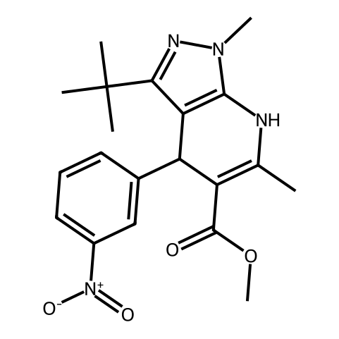 COC(=O)C1=C(C)Nc2c(c(C(C)(C)C)nn2C)C1c1cccc([N+](=O)[O-])c1